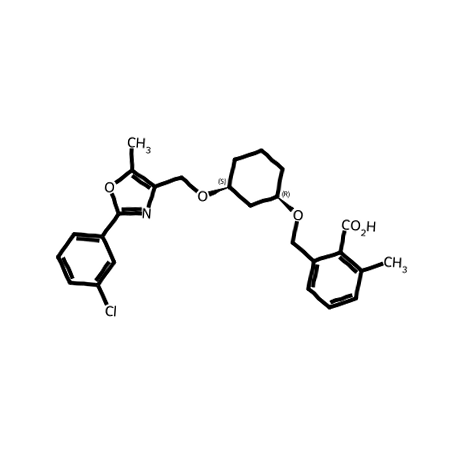 Cc1cccc(CO[C@@H]2CCC[C@H](OCc3nc(-c4cccc(Cl)c4)oc3C)C2)c1C(=O)O